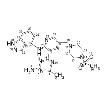 Cc1nc(N)nc(-c2cc(CN3CCN(S(C)(=O)=O)CC3)cnc2Nc2cccc3[nH]ncc23)n1